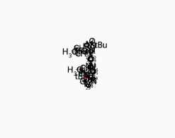 CC(C)(C)OC(=O)N1CCCC1c1ncc(-c2ccc(-c3ncc4cc(-c5cnc(C6CCCN6C(=O)OC(C)(C)C)n5COCC[Si](C)(C)C)ccc4n3)cc2)n1COCC[Si](C)(C)C